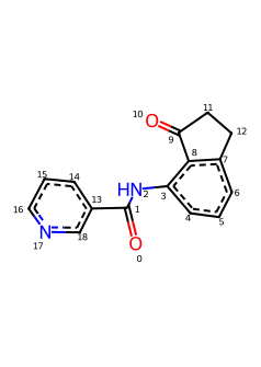 O=C(Nc1cccc2c1C(=O)CC2)c1cccnc1